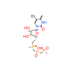 C=C1NC(=O)N([C@@H]2O[C@H](CCP(=C)(C)CP(=O)(O)CP(C)(C)=O)C(O)[C@@H]2O)C=C1CC